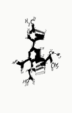 Cc1ncc(-c2cc(C(F)F)c3c(c2)c(C(C)C)nn3CC(=O)O)cn1